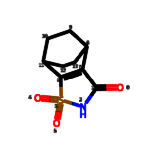 O=C1NS(=O)(=O)C2=C1C1CCC2CC1